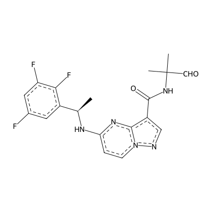 C[C@@H](Nc1ccn2ncc(C(=O)NC(C)(C)C=O)c2n1)c1cc(F)cc(F)c1F